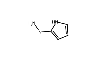 NNc1ccc[nH]1